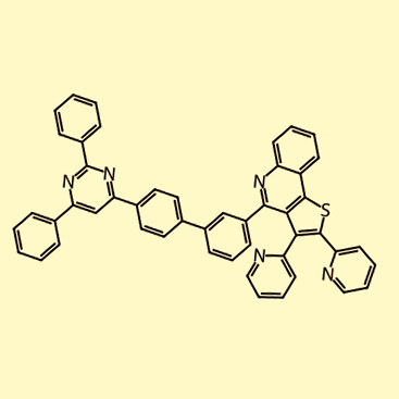 c1ccc(-c2cc(-c3ccc(-c4cccc(-c5nc6ccccc6c6sc(-c7ccccn7)c(-c7ccccn7)c56)c4)cc3)nc(-c3ccccc3)n2)cc1